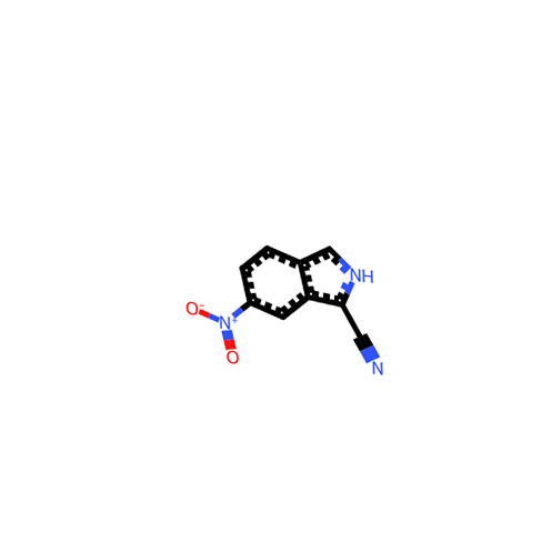 N#Cc1[nH]cc2ccc([N+](=O)[O-])cc12